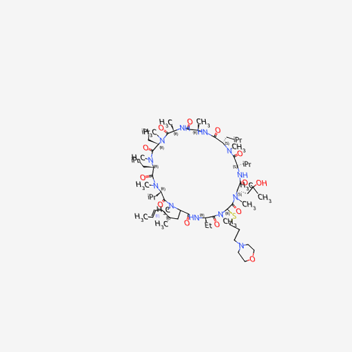 C/C=C/C[C@@H](C)CC1C(=O)N[C@H](CC)C(=O)N(C)[C@H](SCCCN2CCOCC2)C(=O)N(C)[C@@H](CC(C)(C)O)C(=O)N[C@@H](C(C)C)C(=O)N(C)[C@@H](CC(C)C)C(=O)N[C@H](C)C(=O)N[C@H](C)C(=O)N(C)[C@H](CC(C)C)C(=O)N(C)[C@H](CC(C)C)C(=O)N(C)[C@H](C(C)C)C(=O)N1C